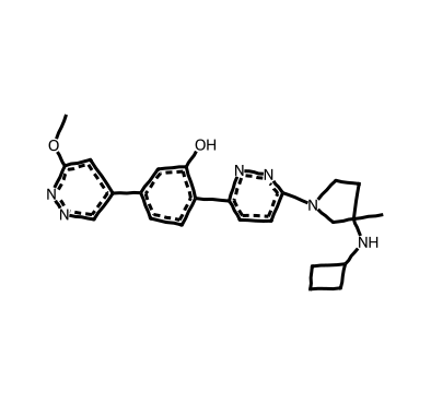 COc1cc(-c2ccc(-c3ccc(N4CCC(C)(NC5CCC5)C4)nn3)c(O)c2)cnn1